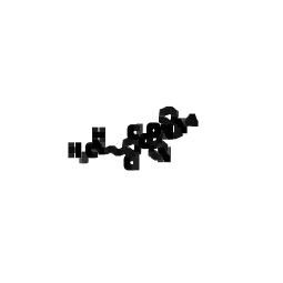 CNCCCc1cc(Cl)c(Oc2ccncc2C(=O)N2CCN(C3CC3)c3ccccc32)cc1Cl